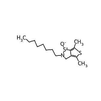 CCCCCCCCN1Cc2c(C)sc(C)c2[S+]1[O-]